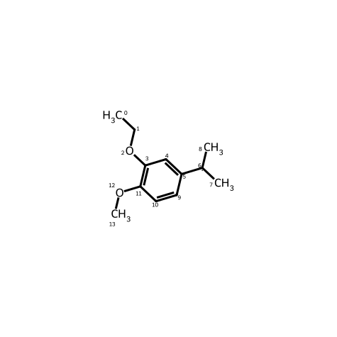 CCOc1cc([C](C)C)ccc1OC